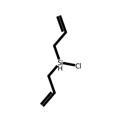 C=CC[SiH](Cl)CC=C